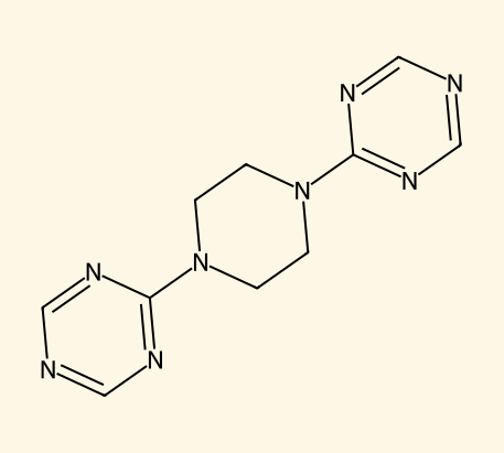 c1ncnc(N2CCN(c3ncncn3)CC2)n1